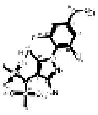 CS(=O)(=O)N(c1c(C#N)nn(-c2c(Cl)cc(OC(F)(F)F)cc2Cl)c1N)S(C)(=O)=O